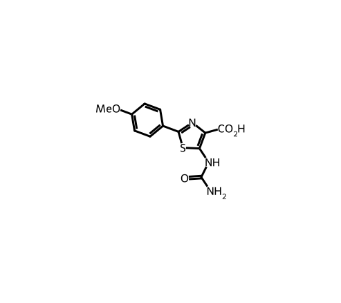 COc1ccc(-c2nc(C(=O)O)c(NC(N)=O)s2)cc1